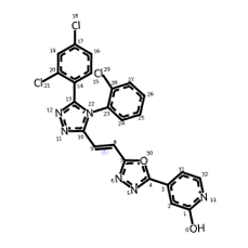 Oc1cc(-c2nnc(/C=C/c3nnc(-c4ccc(Cl)cc4Cl)n3-c3ccccc3Cl)o2)ccn1